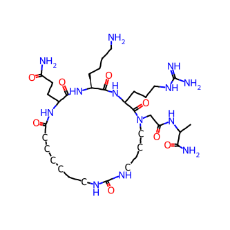 CC(NC(=O)CN1CCCCNC(=O)NCCCCCCC(=O)NC(CCC(N)=O)C(=O)N[C@@H](CCCCN)C(=O)NC(CCCNC(=N)N)C1=O)C(N)=O